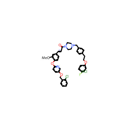 COc1cc(/C=C/C(=O)N2CCN(Cc3ccc(CCOc4ccc(F)cc4)cc3)CC2)ccc1Oc1ccc(OCc2ccccc2Cl)cn1.Cl